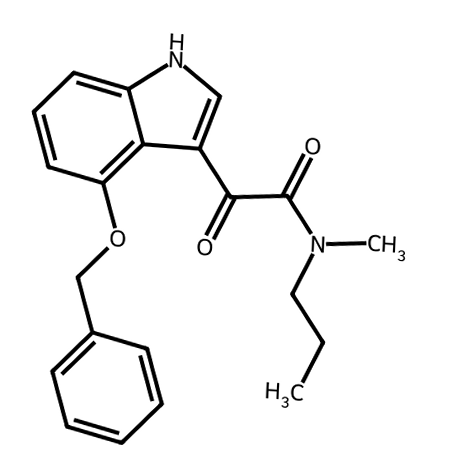 CCCN(C)C(=O)C(=O)c1c[nH]c2cccc(OCc3ccccc3)c12